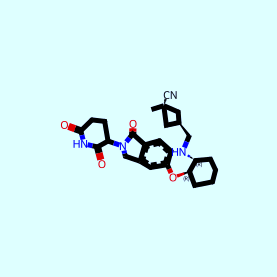 C[C@]1(C#N)C[C@H](CN[C@@H]2CCCC[C@H]2Oc2ccc3c(c2)CN(C2CCC(=O)NC2=O)C3=O)C1